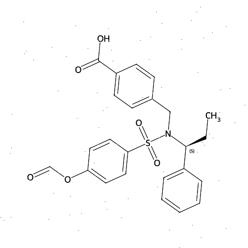 CC[C@@H](c1ccccc1)N(Cc1ccc(C(=O)O)cc1)S(=O)(=O)c1ccc(OC=O)cc1